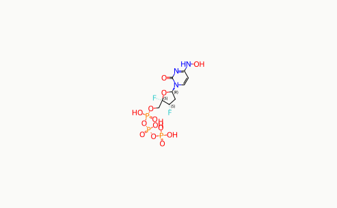 O=c1nc(NO)ccn1[C@H]1C[C@H](F)[C@@](F)(COP(=O)(O)OP(=O)(O)OP(=O)(O)O)O1